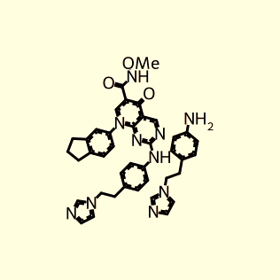 CONC(=O)c1cn(-c2ccc3c(c2)CCC3)c2nc(Nc3ccc(CCn4ccnc4)cc3)ncc2c1=O.Nc1ccc(CCn2ccnc2)cc1